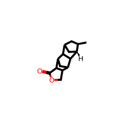 CC1CC2C[C@H]1C1C3CC(C4C(=O)OCC34)C21